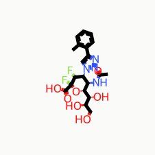 CC(=O)N[C@H]1[C@H]([C@H](O)[C@H](O)CO)OC(F)(C(=O)O)C(F)[C@@H]1n1cc(-c2ccccc2C)nn1